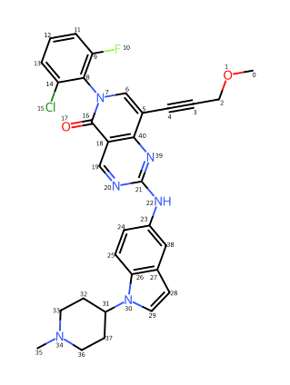 COCC#Cc1cn(-c2c(F)cccc2Cl)c(=O)c2cnc(Nc3ccc4c(ccn4C4CCN(C)CC4)c3)nc12